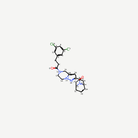 O=C(CCc1cc(Cl)cc(Cl)c1)N1CCn2nc(C(=O)N3C4CCCC3CCC4)cc2C1